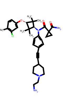 CC1(C)[C@H](Oc2ccc(C#N)c(Cl)c2)C(C)(C)[C@H]1N(C(=O)C1(C(N)=O)CC1)c1ccc(C#CC2CCN(CCN)CC2)cc1